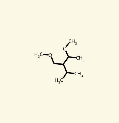 COCC(C(C)C)C(C)OC